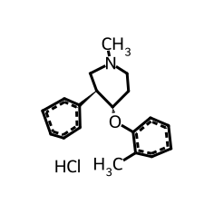 Cc1ccccc1O[C@H]1CCN(C)C[C@@H]1c1ccccc1.Cl